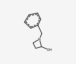 OC1CCN1Cc1ccccc1